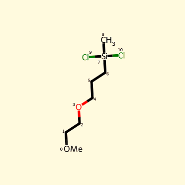 COCCOCCC[Si](C)(Cl)Cl